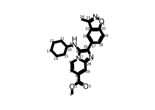 COC(=O)c1ccn2c(NC3CCCCC3)c(-c3ccc4onc(C)c4c3)nc2c1